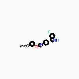 COc1cccc(OC2CN([C@H]3CC[C@@H](c4c[nH]c5ccc(F)cc54)CC3)C2)c1